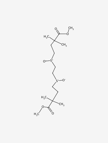 COC(=O)C(C)(C)CC[S+]([O-])CC[S+]([O-])CCC(C)(C)C(=O)OC